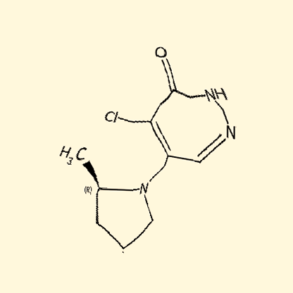 C[C@@H]1C[CH]CN1c1cn[nH]c(=O)c1Cl